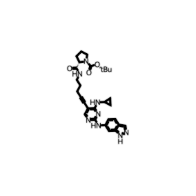 CC(C)(C)OC(=O)N1CCC[C@H]1C(=O)NCCCC#Cc1cnc(Nc2ccc3cn[nH]c3c2)nc1NC1CC1